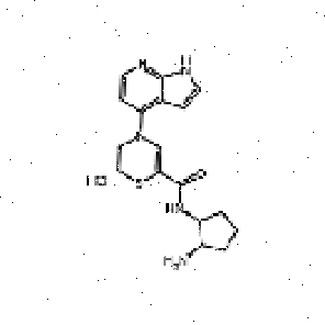 Cl.N[C@@H]1CCC[C@@H]1NC(=O)C1=CN(c2ccnc3[nH]ccc23)CCS1